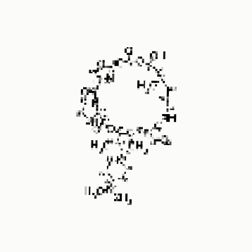 CC1=C\[C@@H](O)CC(=O)Cc2nc(co2)C(=O)N2CCC[C@@H]2C(=O)O[C@H]([C@@H](C)CN2CCC(N(C)C)CC2)[C@H](C)/C=C(\C=O)CNC\C=C\1